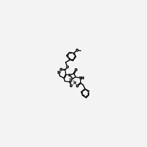 COc1ccc(COC(=O)C2=C(CBr)C[S+]([O-])[C@@H]3C(NC(=O)Cc4ccccc4)C(=O)N23)cc1